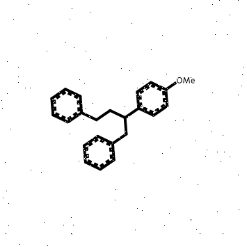 COc1ccc([C](CCc2ccccc2)Cc2ccccc2)cc1